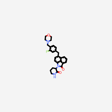 O=C1NCCCC1N1C(=O)c2cccc3c(Cc4ccc(CN5CCOCC5)c(F)c4)ccc1c23